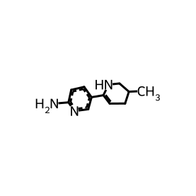 CC1CC=C(c2ccc(N)nc2)NC1